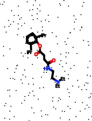 CCN(CC)CCNC(=O)CCC(=O)Oc1c(C(C)C)cccc1C(C)C